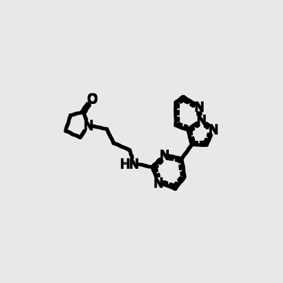 O=C1CCCN1CCCNc1nccc(-c2cnn3ncccc23)n1